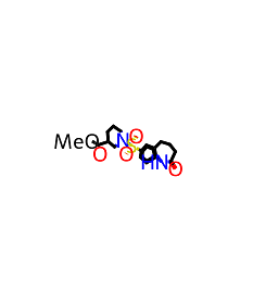 COC(=O)C1CCCN(S(=O)(=O)c2ccc3c(c2)CCCC(=O)N3)C1